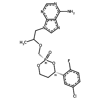 CC(Cn1cnc2c(N)ncnc21)OC[P@@]1(=O)OCC[C@@H](c2cc(Cl)ccc2F)O1